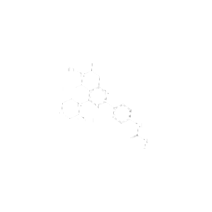 CCNC(=O)Nc1ccc(-c2nc3c(c(N4CCOC[C@@H]4C)n2)C(C)N(C(C)C)C(CC)C3)cc1